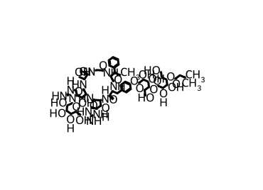 CCC(c1ccccc1)C1NC(=O)CNC(=O)C(CO)NC(=O)C(C(O)C2CNC(=N)N2C2OC(CO)C(O)C(O)C2O)NC(=O)C(C(O)C2CNC(=N)N2)NC(=O)C(Cc2ccc(OC3OC(CO)C(OC4OC(CO)C(OC(=O)CC(C)C)C(O)C4O)C(O)C3O)cc2)NC1=O